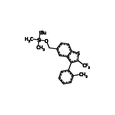 Cc1ccccc1-c1c(C(F)(F)F)sc2ccc(CO[Si](C)(C)C(C)(C)C)cc12